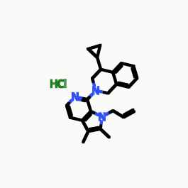 C=CCn1c(C)c(C)c2ccnc(N3Cc4ccccc4C(C4CC4)C3)c21.Cl